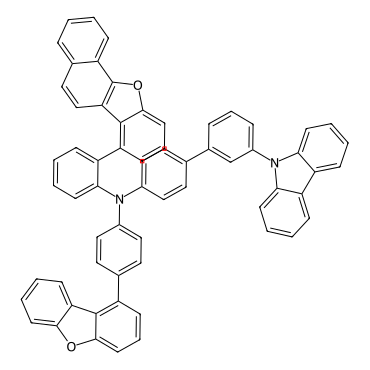 c1cc(-c2ccc(N(c3ccc(-c4cccc5oc6ccccc6c45)cc3)c3ccccc3-c3cccc4oc5c6ccccc6ccc5c34)cc2)cc(-n2c3ccccc3c3ccccc32)c1